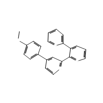 COc1ccc(-c2ccnc(-c3ncccc3-c3ccccn3)c2)cc1